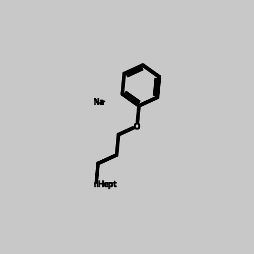 CCCCCCCCCCOc1ccccc1.[Na]